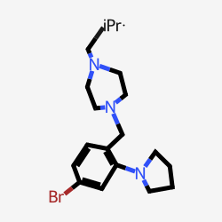 C[C](C)CN1CCN(Cc2ccc(Br)cc2N2CCCC2)CC1